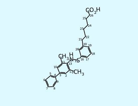 Cc1cc(-c2ccccc2)cc(C)c1NSc1cccc(CCCCCCC(=O)O)c1